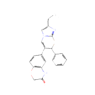 CCc1cn2c(n1)SC(c1ccccc1)C(c1ccc3c(c1)NC(=O)CO3)=C2